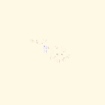 CC[C@@H](O)[C@@H](O)[C@H](O)[C@H](O)CONC(=O)OC(C)(C)C